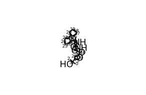 CC(C)(O)c1coc(S(=O)(=O)NC(=O)Nn2c3ccccc3c3ccccc32)c1